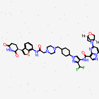 O=C1CC[C@@H](c2csc3c(NC(=O)CN4CCN(CC5CCC(n6cc(NC(=O)c7cnn8ccc(N9C[C@@H]%10C[C@H]9CO%10)nc78)c(C(F)F)n6)CC5)CC4)cccc23)C(=O)N1